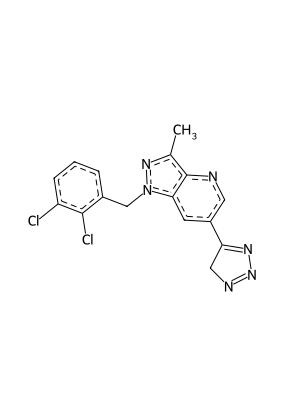 Cc1nn(Cc2cccc(Cl)c2Cl)c2cc(C3=NN=NC3)cnc12